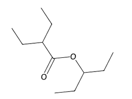 CCC(CC)OC(=O)C(CC)CC